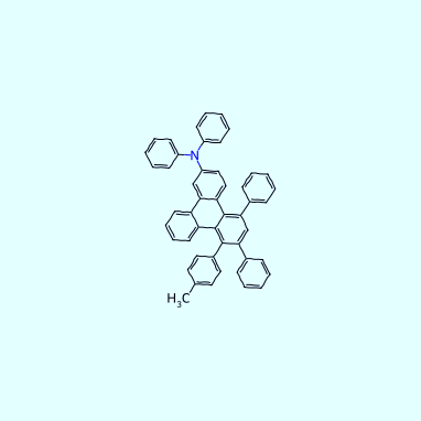 Cc1ccc(-c2c(-c3ccccc3)cc(-c3ccccc3)c3c4ccc(N(c5ccccc5)c5ccccc5)cc4c4ccccc4c23)cc1